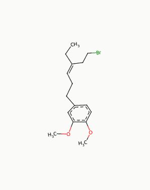 CCC(=CCCc1ccc(OC)c(OC)c1)CCBr